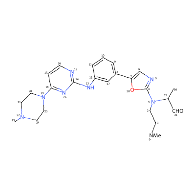 CNCCN(c1ncc(-c2cccc(Nc3nccc(N4CCN(C)CC4)n3)c2)o1)C(C)C=O